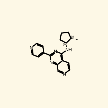 C[C@H]1CCC[C@H]1Nc1nc(-c2ccncc2)nc2cnccc12